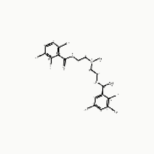 CC(C)N(CCOC(=O)c1c(I)ccc(I)c1I)CCOC(O)c1cc(I)cc(I)c1I